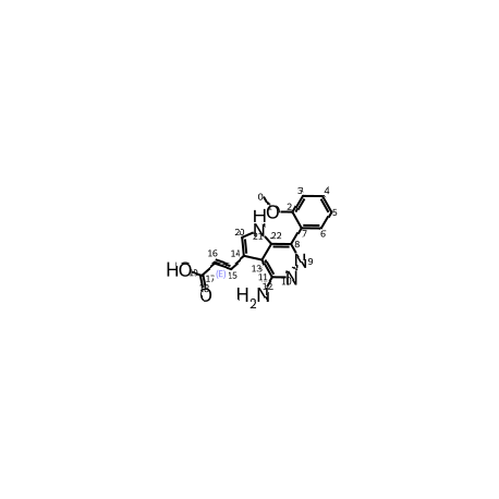 COc1ccccc1-c1nnc(N)c2c(/C=C/C(=O)O)c[nH]c12